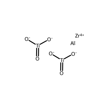 [Al].[O]=[Ti]([O-])[O-].[O]=[Ti]([O-])[O-].[Zr+4]